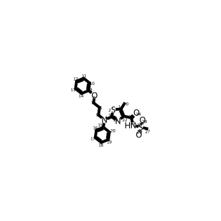 Cc1sc(N(CCCOc2ccccc2)c2ccccc2)nc1C(=O)NS(C)(=O)=O